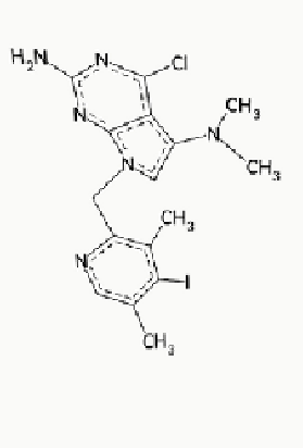 Cc1cnc(Cn2cc(N(C)C)c3c(Cl)nc(N)nc32)c(C)c1I